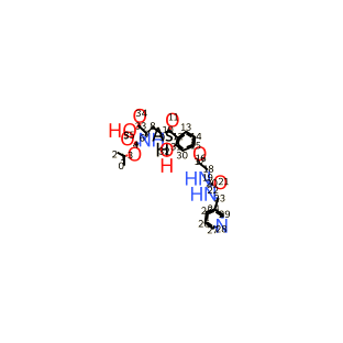 CC(C)OC(=O)N[C@H](C[AsH]C(=O)c1ccc(OCCNC(=O)NCc2cccnc2)cc1O)C(=O)O